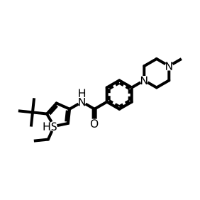 CC[SH]1C=C(NC(=O)c2ccc(N3CCN(C)CC3)cc2)C=C1C(C)(C)C